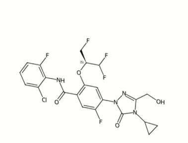 O=C(Nc1c(F)cccc1Cl)c1cc(F)c(-n2nc(CO)n(C3CC3)c2=O)cc1O[C@@H](CF)C(F)F